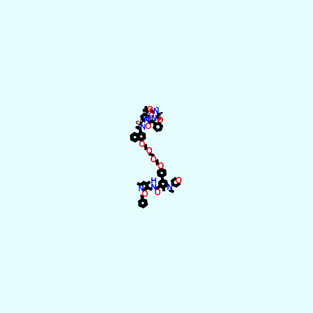 CCN(c1cc(-c2ccc(OCCOCCOCCOc3ccc(-c4csc([C@@H]5CCCN5C(=O)[C@@H](NC(=O)[C@H](C)N(C)C(=O)OC(C)(C)C)C5CCCCC5)n4)c4ccccc34)cc2)cc(C(=O)NCc2c(C)cc(C)nc2OCc2ccccc2)c1C)C1CCOCC1